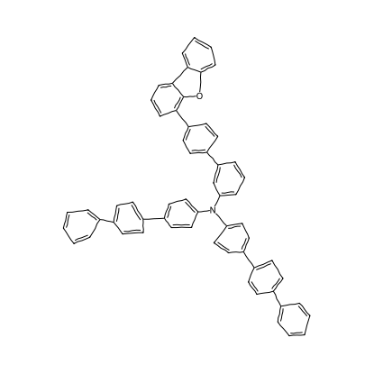 c1ccc(-c2ccc(-c3ccc(N(c4ccc(-c5ccc(-c6ccccc6)cc5)cc4)c4cccc(-c5ccc(-c6cccc7c6oc6ccccc67)cc5)c4)cc3)cc2)cc1